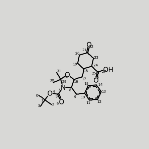 CC(C)(C)OC(=O)N1C(Cc2ccccc2)C(CC2CCC(=O)CC2C(=O)O)OC1(C)C